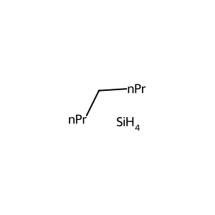 CCCCCCC.[SiH4]